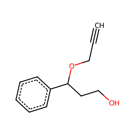 C#CCOC(CCO)c1ccccc1